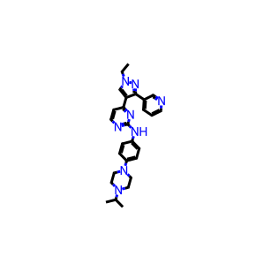 CCn1cc(-c2ccnc(Nc3ccc(N4CCN(C(C)C)CC4)cc3)n2)c(-c2cccnc2)n1